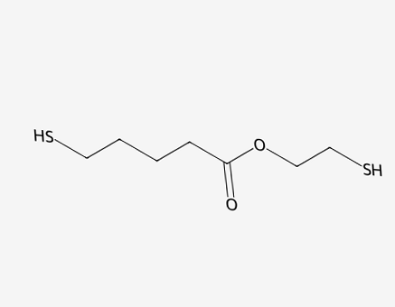 O=C(CCCCS)OCCS